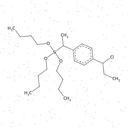 CCCCO[Si](OCCCC)(OCCCC)C(C)c1ccc(C(Cl)CC)cc1